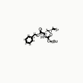 CC(C)(C)OC(=O)N[C@@H](COC=S)C(=O)OCc1ccccc1